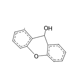 OC1c2[c]cccc2Oc2ccccc21